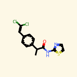 CC(C(=O)Nc1nccs1)c1ccc(C=C(Cl)Cl)cc1